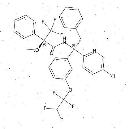 CO[C@@](C(=O)N[C@](Cc1ccccc1)(c1cccc(OC(F)(F)C(F)F)c1)c1ccc(Cl)cn1)(c1ccccc1)C(F)(F)F